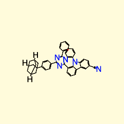 N#Cc1ccc2c(c1)c1cccc(-c3nc(-c4ccccc4)nc(-c4ccc(C56C[C@H]7C[C@@H](C5)C[C@@H](C6)C7)cc4)n3)c1n2-c1ccccc1